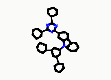 c1ccc(-c2cc(-c3ccccc3)cc(-n3c4ccccc4c4ccc(-c5nc(-c6ccccc6)nc(-c6ccccc6)n5)cc43)c2)cc1